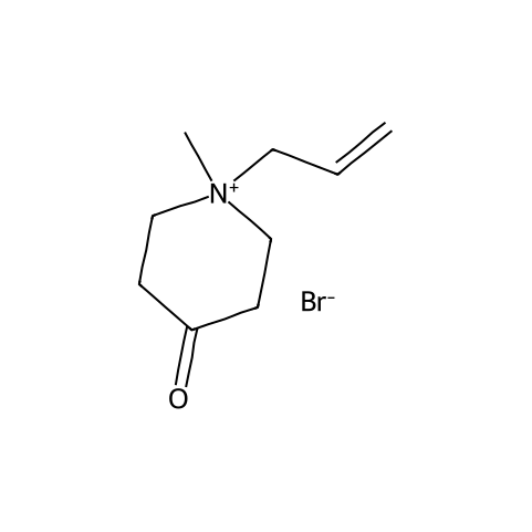 C=CC[N+]1(C)CCC(=O)CC1.[Br-]